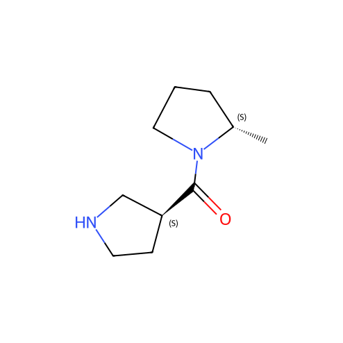 C[C@H]1CCCN1C(=O)[C@H]1CCNC1